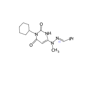 CC(C)/C=N/N(C)c1cc(=O)n(C2CCCCC2)c(=O)[nH]1